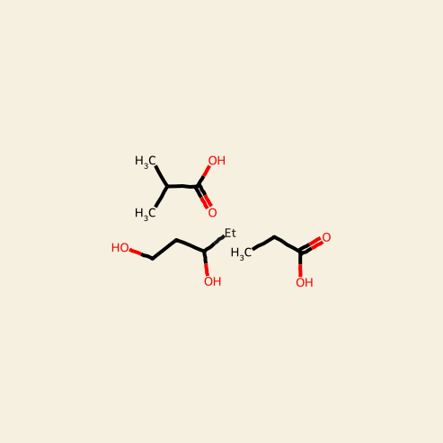 CC(C)C(=O)O.CCC(=O)O.CCC(O)CCO